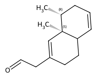 C[C@@H]1CC=CC2CCC(CC=O)=C[C@]21C